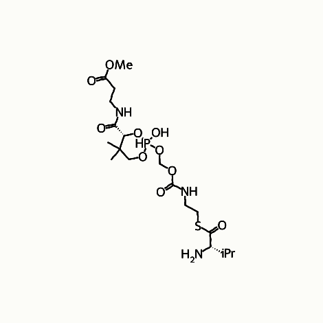 COC(=O)CCNC(=O)[C@@H]1O[PH](O)(OCOC(=O)NCCSC(=O)[C@@H](N)C(C)C)OCC1(C)C